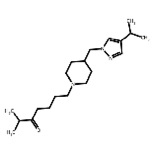 CC(C)C(=O)CCCCN1CCC(Cn2cc(C(C)C)cn2)CC1